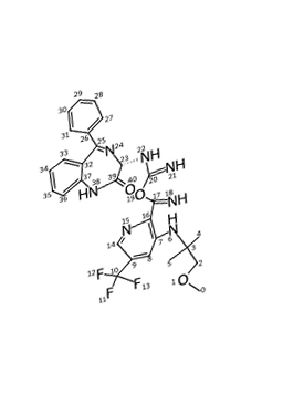 COCC(C)(C)Nc1cc(C(F)(F)F)cnc1C(=N)OC(=N)N[C@H]1N=C(c2ccccc2)c2ccccc2NC1=O